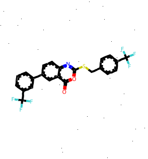 O=c1oc(SCc2ccc(C(F)(F)F)cc2)nc2ccc(-c3cccc(C(F)(F)F)c3)cc12